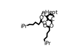 CCCCCCCOc1cccc(OC(=O)CCCCC(C)C)c1OC(=O)CCCCC(C)C